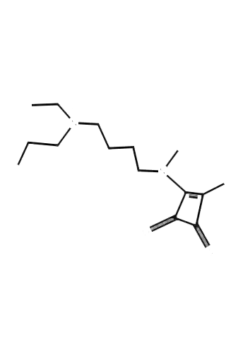 CCCN(CC)CCCCN(C)c1c(C)c(=S)c1=O